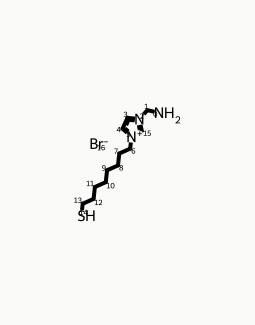 NCn1cc[n+](CCCCCCCCS)c1.[Br-]